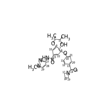 C[C@@H](O)[C@@H](C)Oc1cc(Oc2ccc(C(=O)N3CCC3)cc2)cc(C(=O)Nc2ccn(C)n2)c1